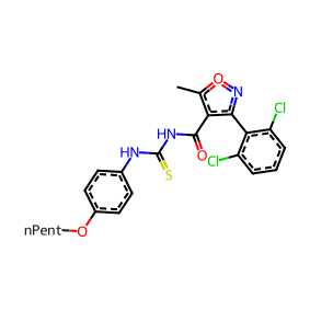 CCCCCOc1ccc(NC(=S)NC(=O)c2c(-c3c(Cl)cccc3Cl)noc2C)cc1